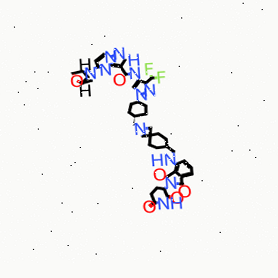 O=C1CCC(N2C(=O)c3cccc(NCC4CCC5(CC4)CN(C[C@H]4CC[C@H](n6cc(NC(=O)c7cnn8ccc(N9C[C@H]%10C[C@@H]9CO%10)nc78)c(C(F)F)n6)CC4)C5)c3C2=O)C(=O)N1